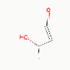 CC(O)C=C=O